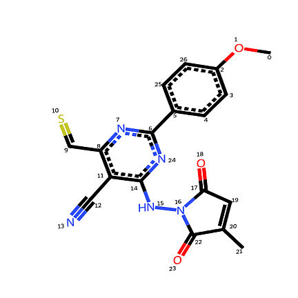 COc1ccc(-c2nc(C=S)c(C#N)c(NN3C(=O)C=C(C)C3=O)n2)cc1